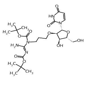 CC(C)(C)OC(=O)N=C(N)N(CCCO[C@@H]1[C@H](O)[C@@H](CO)O[C@H]1n1ccc(=O)[nH]c1=O)C(=O)OC(C)(C)C